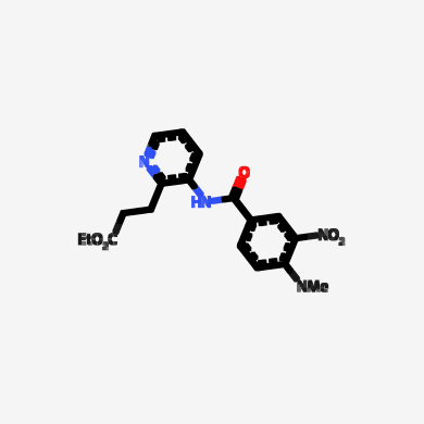 CCOC(=O)CCc1ncccc1NC(=O)c1ccc(NC)c([N+](=O)[O-])c1